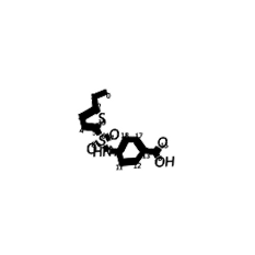 CCc1ccc(S(=O)(=O)Nc2ccc(C(=O)O)cc2)s1